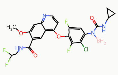 BN(C(=O)NC1CC1)c1cc(F)c(Oc2ccnc3cc(OC)c(C(=O)NCC(F)F)cc23)c(F)c1Cl